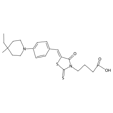 CCC1(C)CCN(c2ccc(/C=C3\SC(=S)N(CCCC(=O)O)C3=O)cc2)CC1